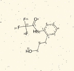 O=C(Nc1ccccc1CCCO)C(F)(F)F